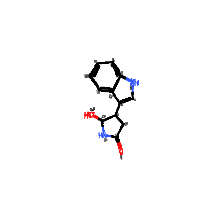 O=C1CC(c2c[nH]c3ccccc23)C(O)N1